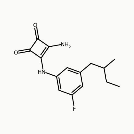 CCC(C)Cc1cc(F)cc(Nc2c(N)c(=O)c2=O)c1